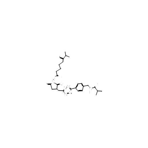 CC(C)C(=O)CCCCC(=O)ON1C(=O)CC(Cc2nnc(-c3ccc(CNC(=O)C(C)C)cc3)nn2)C1=O